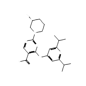 CC(C)c1cc(Nc2nc(N3CCC[C@H](N)C3)ncc2C(N)=O)cc(C(C)C)n1